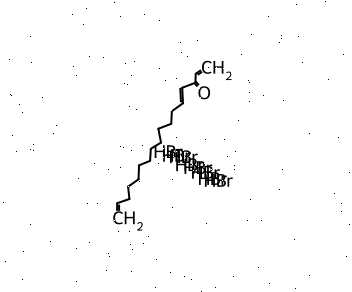 Br.Br.Br.Br.Br.Br.Br.Br.C=CCCCCCCCCCCC=CC(=O)C=C